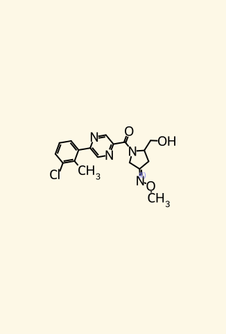 CO/N=C1\CC(CO)N(C(=O)c2cnc(-c3cccc(Cl)c3C)cn2)C1